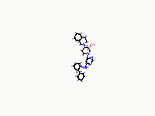 O[C@@H]1CN(c2cc(Nc3ccccc3-c3ccccc3)ncn2)CC[C@H]1N1CCc2ccccc2C1